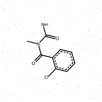 CN(C([NH])=O)C(=O)c1ccccc1Cl